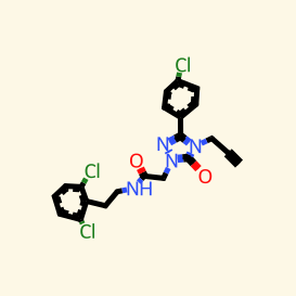 C#CCn1c(-c2ccc(Cl)cc2)nn(CC(=O)NCCc2c(Cl)cccc2Cl)c1=O